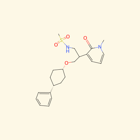 Cn1cccc(C(CNS(C)(=O)=O)CO[C@H]2CC[C@@H](c3ccccc3)CC2)c1=O